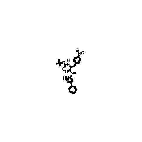 CN(C(=O)C(Cc1ccc([N+](=O)[O-])cc1)NC(=O)OC(C)(C)C)c1cc(-c2ccccc2)n[nH]1